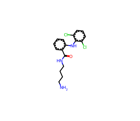 NCCCCNC(=O)c1ccccc1Nc1c(Cl)cccc1Cl